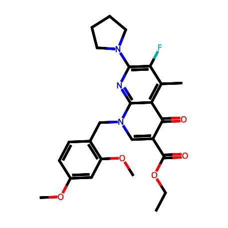 CCOC(=O)c1cn(Cc2ccc(OC)cc2OC)c2nc(N3CCCC3)c(F)c(C)c2c1=O